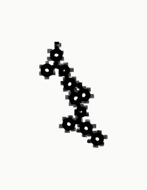 Fc1ccc(N(c2ccccc2)c2ccc(-c3ccc4c(c3)Sc3cccc5c(-c6ccc(N(c7ccccc7)c7ccc(-c8ccccc8)cc7)s6)ccc-4c35)s2)cc1